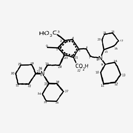 Cc1c(C(=O)O)cc(CCN(C2CCCCC2)C2CCCCC2)c(C(=O)O)c1CCN(C1CCCCC1)C1CCCCC1